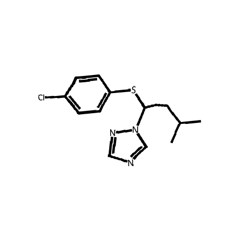 CC(C)CC(Sc1ccc(Cl)cc1)n1cncn1